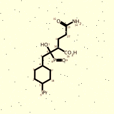 CC(C)C1CCC(CC(O)(P=O)C(CCC(N)=O)C(=O)O)CC1